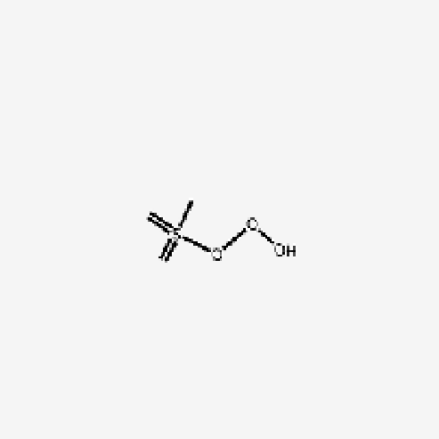 C=S(=C)(C)OOO